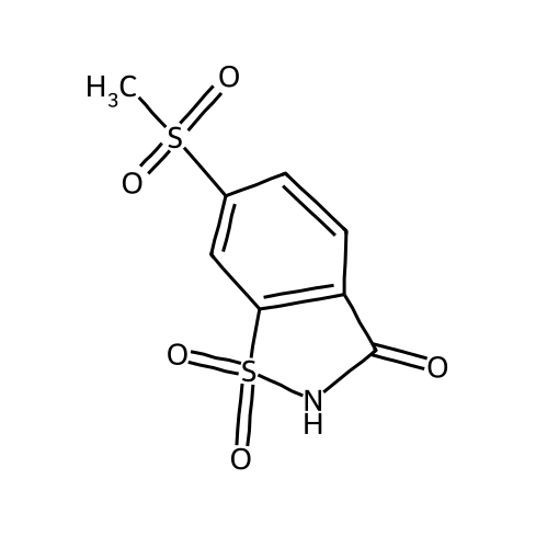 CS(=O)(=O)c1ccc2c(c1)S(=O)(=O)NC2=O